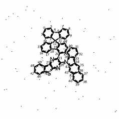 c1ccc2c(c1)-c1ccccc1C21c2ccccc2-c2c(-c3nc4c(nc3-n3c5ccccc5c5cc6ccccc6cc53)sc3ccccc34)cccc21